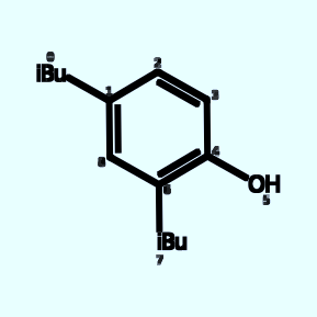 CCC(C)c1ccc(O)c(C(C)CC)c1